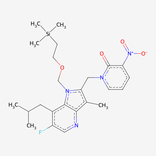 Cc1c(Cn2cccc([N+](=O)[O-])c2=O)n(COCC[Si](C)(C)C)c2c(CC(C)C)c(F)cnc12